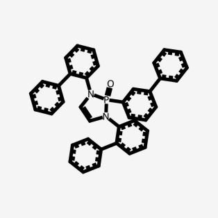 O=P1(c2cccc(-c3ccccc3)c2)N(c2ccccc2-c2ccccc2)C=CN1c1ccccc1-c1ccccc1